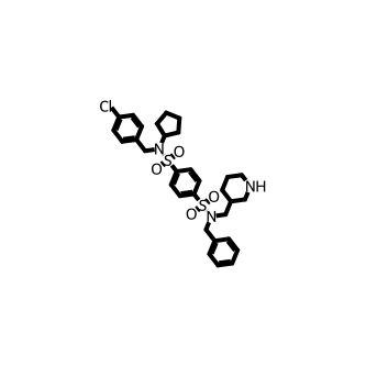 O=S(=O)(c1ccc(S(=O)(=O)N(Cc2ccc(Cl)cc2)C2CCCC2)cc1)N(Cc1ccccc1)CC1CCCNC1